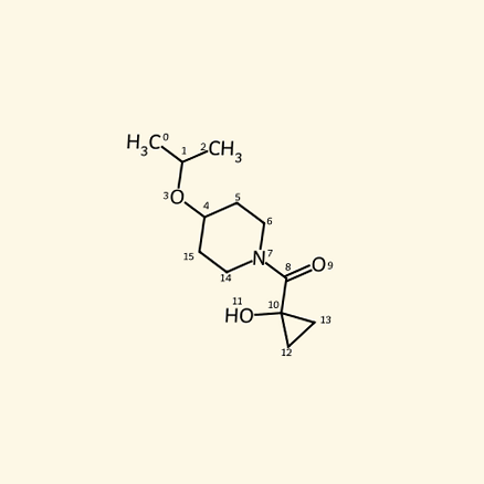 CC(C)OC1CCN(C(=O)C2(O)CC2)CC1